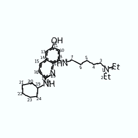 CCN(CC)CCCCCNc1cc(O)cc2ccc(NC3CCCCC3)nc12